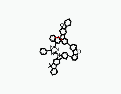 CC1(C)c2ccccc2-c2cc3c4cc(-c5cccc6oc7ccc(-c8ccc9c(c8)c8cc%10c(cc8n9-c8ccccc8)oc8ccccc8%10)cc7c56)ccc4n(-c4nc(-c5ccccc5)nc(-c5ccccc5)n4)c3cc21